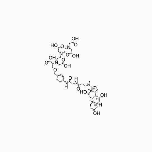 C[C@H](CCC(=O)NCC(=O)Nc1ccc(COCC(C(=O)O)N(CCN(CCN(CC(=O)O)CC(=O)O)CC(=O)O)CC(=O)O)cc1)[C@H]1CCC2C3C(C[C@H](O)[C@@]21C)[C@@]1(C)CC[C@@H](O)C[C@H]1C[C@H]3O